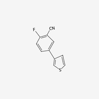 N#Cc1cc(-c2ccsc2)ccc1F